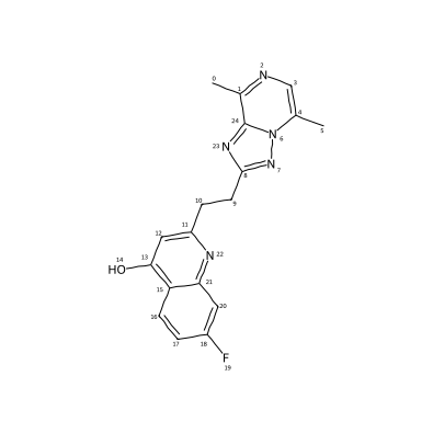 Cc1ncc(C)n2nc(CCc3cc(O)c4ccc(F)cc4n3)nc12